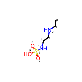 CCNCCNS(=O)(=O)O